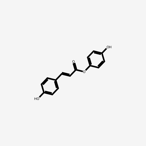 O=C(/C=C/c1ccc(O)cc1)Oc1ccc(O)cc1